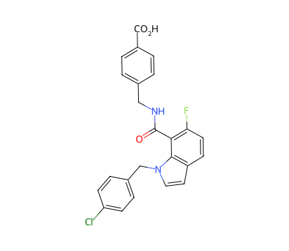 O=C(O)c1ccc(CNC(=O)c2c(F)ccc3ccn(Cc4ccc(Cl)cc4)c23)cc1